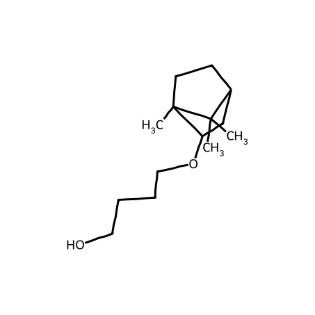 CC1(C)C2CCC1(C)C(OCCCCO)C2